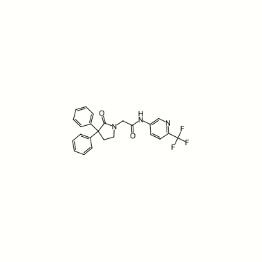 O=C(CN1CCC(c2ccccc2)(c2ccccc2)C1=O)Nc1ccc(C(F)(F)F)nc1